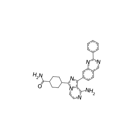 NC(=O)C1CCC(c2nc(-c3ccc4cnc(-c5ccccc5)nc4c3)c3c(N)nccn23)CC1